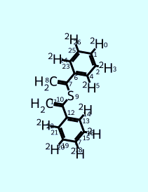 [2H]c1c([2H])c([2H])c(C(=C)SC(=C)c2c([2H])c([2H])c([2H])c([2H])c2[2H])c([2H])c1[2H]